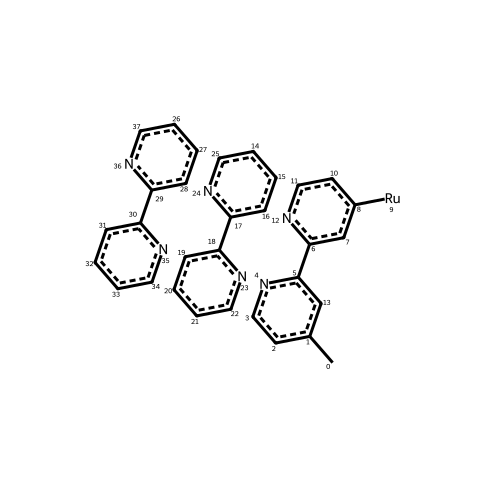 Cc1ccnc(-c2c[c]([Ru])ccn2)c1.c1ccc(-c2ccccn2)nc1.c1ccc(-c2ccccn2)nc1